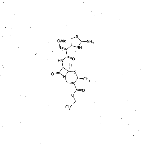 CON=C(C(=O)NC1C(=O)N2C=C(C(=O)OCC(Cl)(Cl)Cl)C(C)S[C@H]12)C1=CSC(N)N1